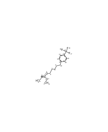 CO[SiH](OC)OCCCCCc1ccc(C(F)(F)F)cc1